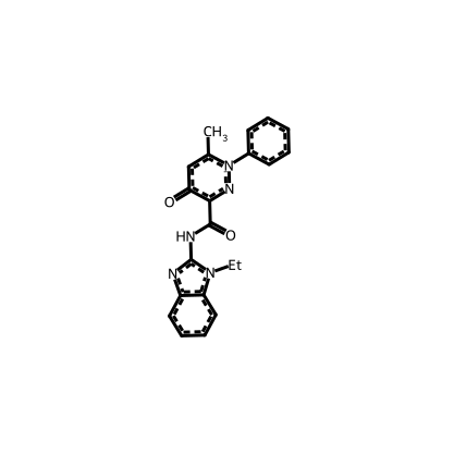 CCn1c(NC(=O)c2nn(-c3ccccc3)c(C)cc2=O)nc2ccccc21